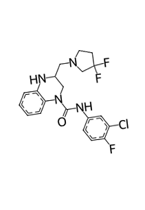 O=C(Nc1ccc(F)c(Cl)c1)N1CC(CN2CCC(F)(F)C2)Nc2ccccc21